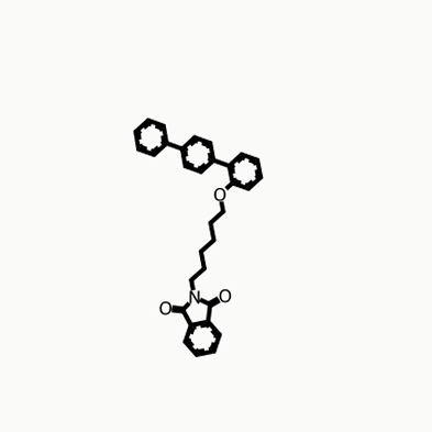 O=C1c2ccccc2C(=O)N1CCCCCCOc1ccccc1-c1ccc(-c2ccccc2)cc1